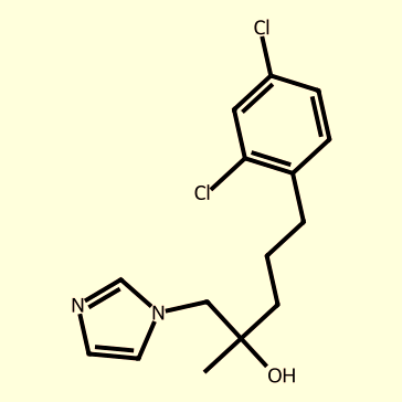 CC(O)(CCCc1ccc(Cl)cc1Cl)Cn1ccnc1